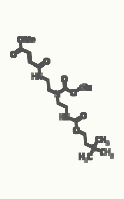 COC(=O)/C=C/C(=O)NCCN(CCNC(=O)OCC[Si](C)(C)C)C(=O)OC(C)(C)C